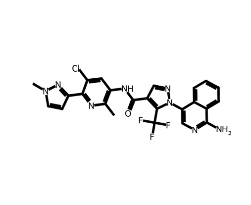 Cc1nc(-c2ccn(C)n2)c(Cl)cc1NC(=O)c1cnn(-c2cnc(N)c3ccccc23)c1C(F)(F)F